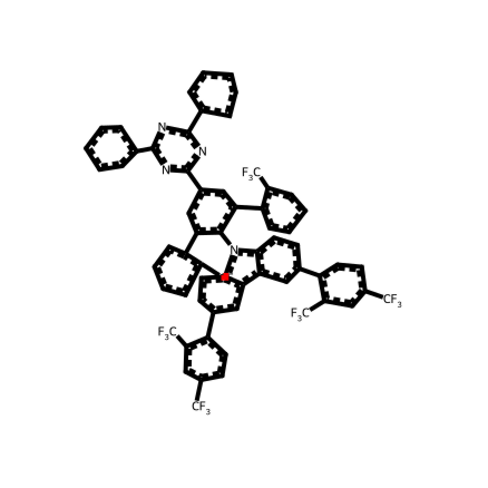 FC(F)(F)c1ccc(-c2ccc3c(c2)c2cc(-c4ccc(C(F)(F)F)cc4C(F)(F)F)ccc2n3-c2c(-c3ccccc3C(F)(F)F)cc(-c3nc(-c4ccccc4)nc(-c4ccccc4)n3)cc2-c2ccccc2C(F)(F)F)c(C(F)(F)F)c1